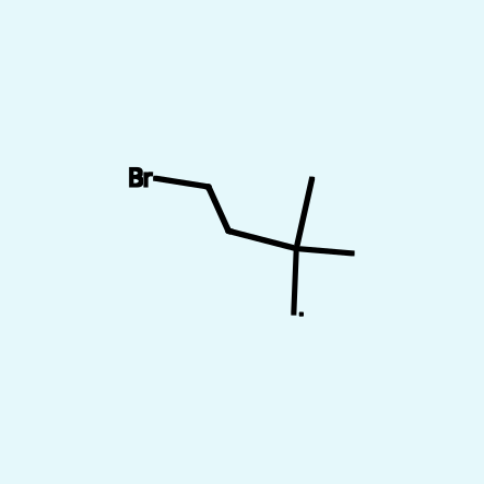 [CH2]C(C)(C)CCBr